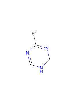 CCC1=NCNC=N1